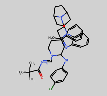 Cc1nc2ccccc2n1C1CC2CCC(C1)N2CCC1(c2ccccc2)CCN(/C=N/C(=O)C(C)(C)C)C(Nc2ccc(Cl)cc2)C1